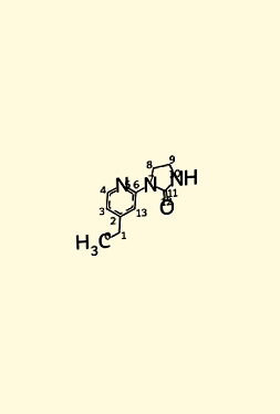 CCc1ccnc(N2CCNC2=O)c1